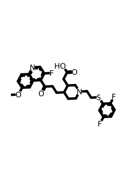 COc1ccc2ncc(F)c(C(=O)CCC3CCN(CCSc4cc(F)ccc4F)CC3CC(=O)O)c2c1